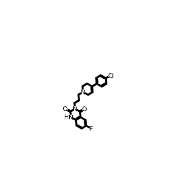 O=c1[nH]c2ccc(F)cc2c(=O)n1CCCN1CC=C(c2ccc(Cl)cc2)CC1